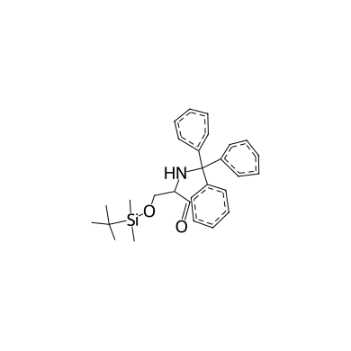 CC(C)(C)[Si](C)(C)OCC(C=O)NC(c1ccccc1)(c1ccccc1)c1ccccc1